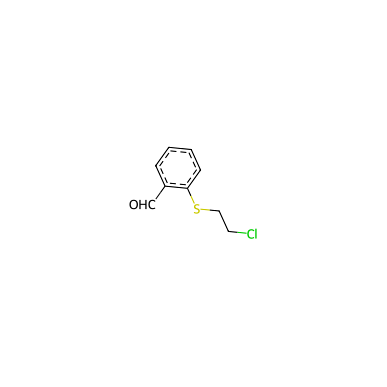 O=Cc1ccccc1SCCCl